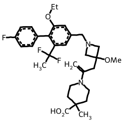 C=C(CC1(OC)CN(Cc2cc(OCC)c(-c3ccc(F)cc3)c(C(C)(F)F)c2)C1)N1CCC(C)(C(=O)O)CC1